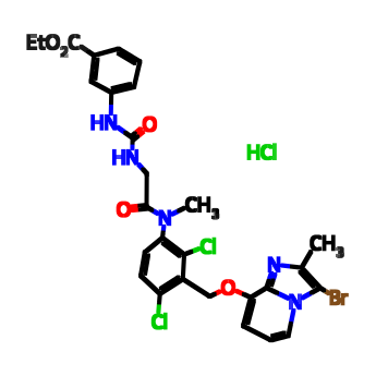 CCOC(=O)c1cccc(NC(=O)NCC(=O)N(C)c2ccc(Cl)c(COc3cccn4c(Br)c(C)nc34)c2Cl)c1.Cl